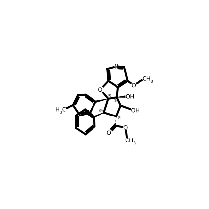 COC(=O)[C@H]1C(O)[C@@]2(O)c3c(OC)cncc3O[C@@]2(c2ccc(C)cc2)[C@@H]1c1ccccc1